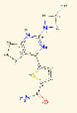 NC(=O)c1ccc(-c2nc(N3CC(F)C3)nc3c2CCC3)s1